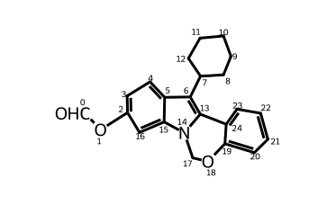 O=COc1ccc2c(C3CCCCC3)c3n(c2c1)COc1ccccc1-3